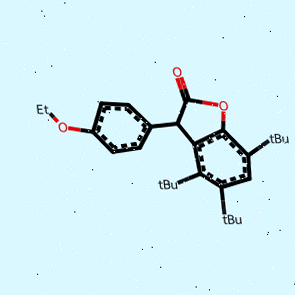 CCOc1ccc(C2C(=O)Oc3c(C(C)(C)C)cc(C(C)(C)C)c(C(C)(C)C)c32)cc1